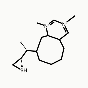 C[C@H](C1CCCCC2C=[N+](C)C=[N+](C)C2C1)[C@@H]1BC1